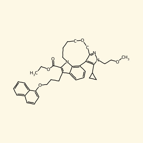 CCOC(=O)c1c(CCCOc2cccc3ccccc23)c2cccc3c2n1CCCCOCc1nn(CCOC)c(C2CC2)c1-3